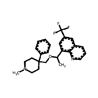 CC(OCC1(c2ccccc2)CCN(C)CC1)c1cc(C(F)(F)F)cc2cccnc12